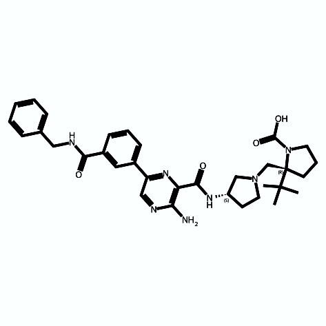 CC(C)(C)[C@@]1(CN2CC[C@H](NC(=O)c3nc(-c4cccc(C(=O)NCc5ccccc5)c4)cnc3N)C2)CCCN1C(=O)O